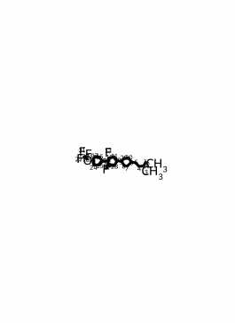 CCC(C)CCC1CCC(c2cc(F)c(-c3ccc(OC(F)(F)F)cc3)c(F)c2)CC1